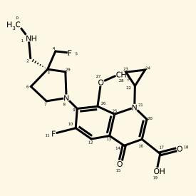 CNC[C@@]1(CF)CCN(c2c(F)cc3c(=O)c(C(=O)O)cn(C4CC4)c3c2OC)C1